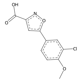 COc1ccc(-c2cc(C(=O)O)no2)cc1Cl